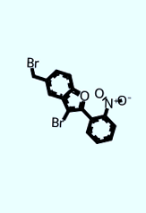 O=[N+]([O-])c1ccccc1-c1oc2ccc(CBr)cc2c1Br